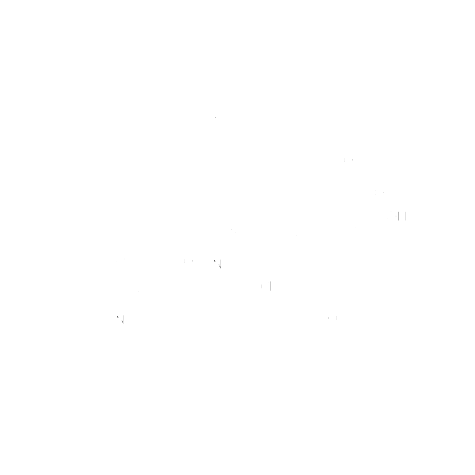 CC1/C=C/CCOC(=O)c2c(O)cc(O)c(Cl)c2CC(=N/OCC(=O)N2CCCCC2)/C=C/C1